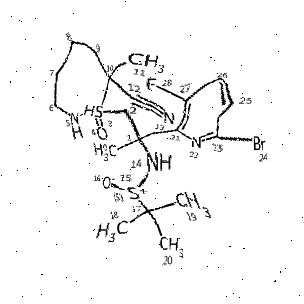 CC(C[SH]1(=O)NCCCCC1(C)C#N)(N[S@+]([O-])C(C)(C)C)c1nc(Br)ccc1F